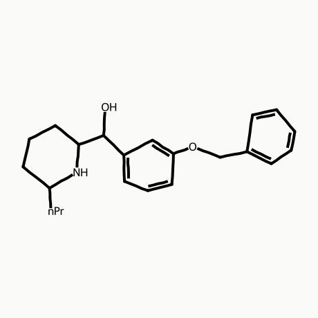 CCCC1CCCC(C(O)c2cccc(OCc3ccccc3)c2)N1